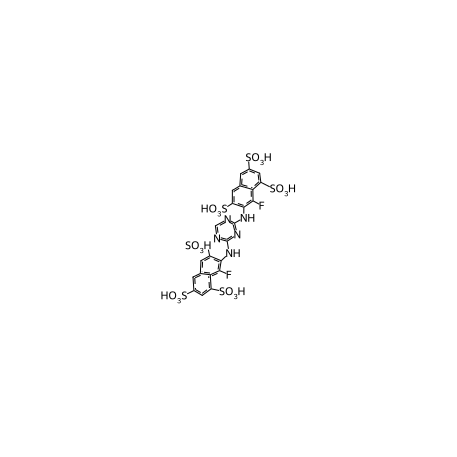 O=S(=O)(O)c1cc(S(=O)(=O)O)c2c(F)c(Nc3ncnc(Nc4c(S(=O)(=O)O)cc5cc(S(=O)(=O)O)cc(S(=O)(=O)O)c5c4F)n3)c(S(=O)(=O)O)cc2c1